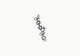 CCOC(=O)c1ccc(-c2ccc3c(c2)C(C)(C)CC(OC(=O)C2CCN(C)CC2)S3)nc1